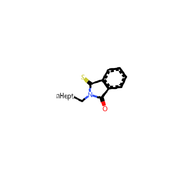 CCCCCCCCN1C(=O)c2ccccc2C1=S